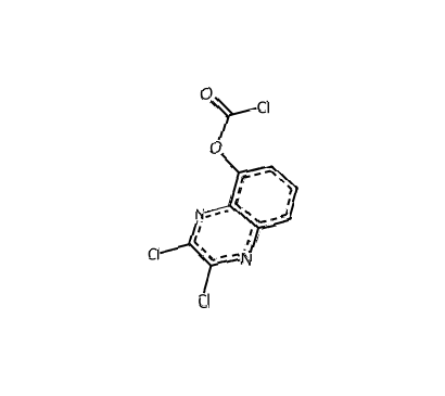 O=C(Cl)Oc1cccc2nc(Cl)c(Cl)nc12